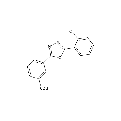 O=C(O)c1cccc(-c2nnc(-c3ccccc3Cl)o2)c1